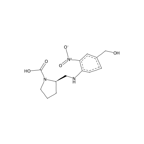 O=C(O)N1CCC[C@@H]1CNc1ccc(CO)cc1[N+](=O)[O-]